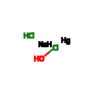 Cl.OCl.[Hg].[NaH]